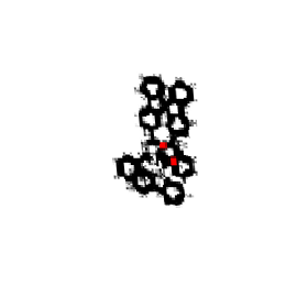 Fc1ccccc1-c1nc(-c2ccc3c(c2)C2(c4ccccc4-c4ccc(-c5ccc(-n6c7ccccc7c7ccccc76)cc5)cc42)c2ccccc2-3)nc(-c2ccccc2F)n1